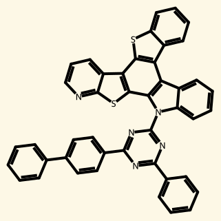 c1ccc(-c2ccc(-c3nc(-c4ccccc4)nc(-n4c5ccccc5c5c6c7ccccc7sc6c6c7cccnc7sc6c54)n3)cc2)cc1